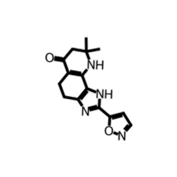 CC1(C)CC(=O)C2=C(N1)c1[nH]c(-c3ccno3)nc1CC2